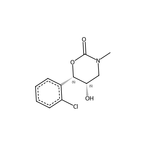 CN1C[C@H](O)[C@H](c2ccccc2Cl)OC1=O